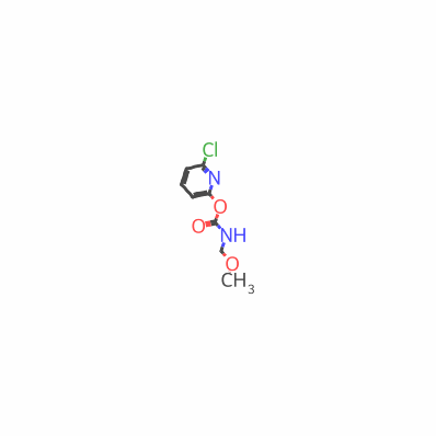 COCNC(=O)Oc1cccc(Cl)n1